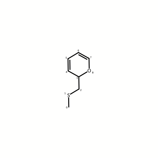 CSCC1C=CC=CO1